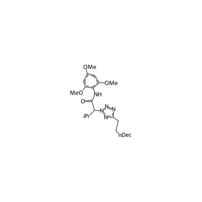 CCCCCCCCCCCCc1nnn(C(C(=O)Nc2c(OC)cc(OC)cc2OC)C(C)C)n1